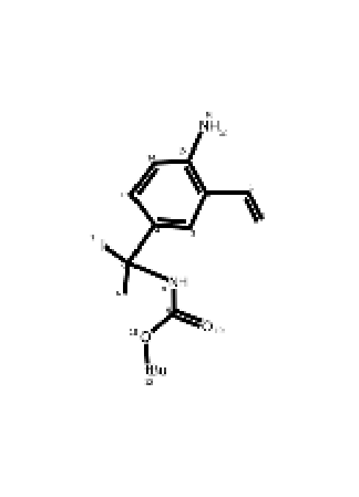 C=Cc1cc(C(C)(I)NC(=O)OC(C)(C)C)ccc1N